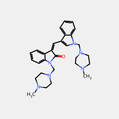 CN1CCN(CN2C(=O)C(=Cc3cn(CN4CCN(C)CC4)c4ccccc34)c3ccccc32)CC1